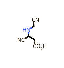 N#CCNC(C#N)CC(=O)O